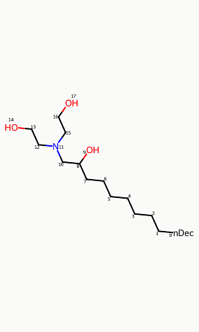 CCCCCCCCCCCCCCCCCC(O)CN(CCO)CCO